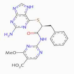 COc1nc(NC(=O)[C@H](Cc2ccccc2)Sc2nc(N)nc3nc[nH]c23)ncc1C(=O)O